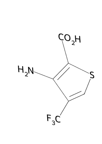 Nc1c(C(F)(F)F)csc1C(=O)O